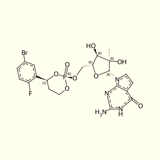 C[C@@]1(O)[C@H](O)[C@@H](CO[P@@]2(=O)OCC[C@@H](c3cc(Br)ccc3F)O2)O[C@H]1n1ccc2c(=O)[nH]c(N)nc21